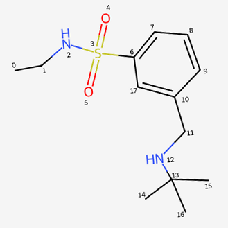 CCNS(=O)(=O)c1cccc(CNC(C)(C)C)c1